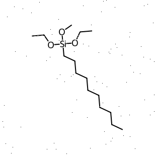 CCCCCCCCCC[Si](OC)(OCC)OCC